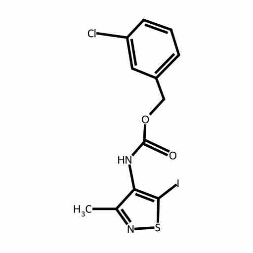 Cc1nsc(I)c1NC(=O)OCc1cccc(Cl)c1